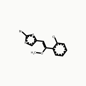 COC(=Cc1cnc(Br)s1)c1ccccc1Cl